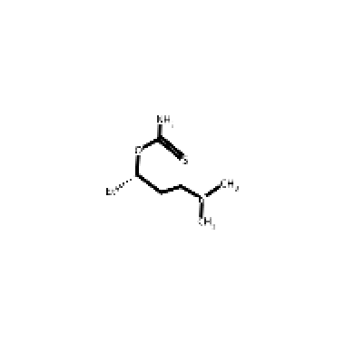 CC[C@@H](CCN(C)C)OC(N)=S